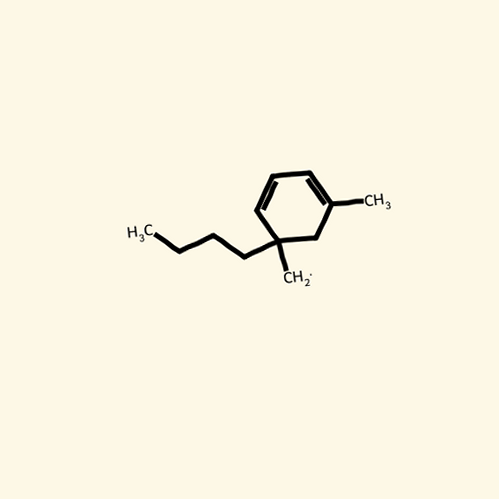 [CH2]C1(CCCC)C=CC=C(C)C1